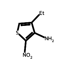 CCc1csc([N+](=O)[O-])c1N